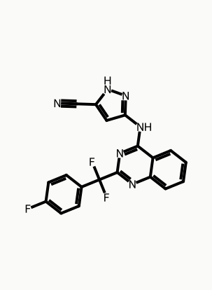 N#Cc1cc(Nc2nc(C(F)(F)c3ccc(F)cc3)nc3ccccc23)n[nH]1